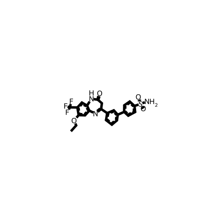 CCOc1cc2c(cc1C(F)(F)F)NC(=O)CC(c1cccc(-c3ccc(S(N)(=O)=O)cc3)c1)=N2